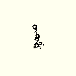 O=c1[nH]ncc(N2Cc3ccc(OCc4cccnc4)nc3C2)c1C(F)(F)F